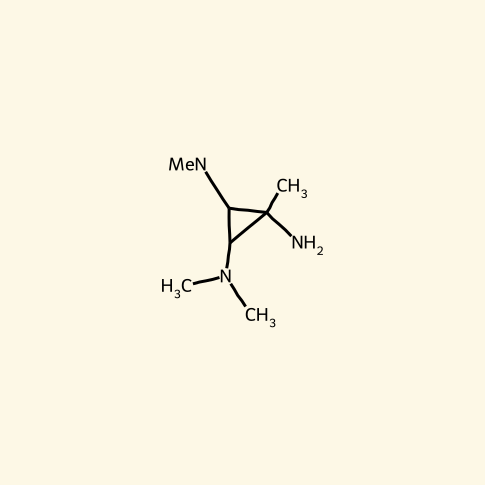 CNC1C(N(C)C)C1(C)N